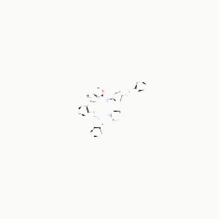 Cc1c(C(=O)Nc2ccc(OCc3ccccc3)cc2)cc(-c2cc(F)ccc2C(=O)N2Cc3ccccc3C[C@H]2CN2CCOCC2)n1C